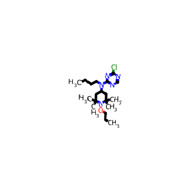 CCCCN(c1ncnc(Cl)n1)C1CC(C)(C)N(OCCC)C(C)(C)C1